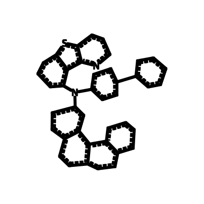 c1ccc(-c2ccc(N(c3ccc4ccc5ccc6ccccc6c5c4c3)c3cccc4sc5cccnc5c34)cc2)cc1